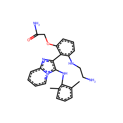 Cc1cccc(C)c1Nc1c(-c2c(NCCN)cccc2OCC(N)=O)nc2ccccn12